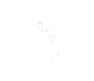 CSc1cc(C)[nH]c(=O)c1CNC(=O)c1cc(Cl)c2c(c1C)O[C@](C)(C1CCN(C[C@@H]3CCOC3)CC1)O2